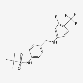 CC(C)(C)S(=O)(=O)Nc1ccc(CNc2ccc(C(F)(F)F)c(F)c2)cc1